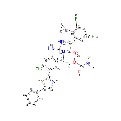 CN(C)C(=O)OC[C@H](c1ccc(Cl)c(-c2ncc(-c3ccccc3)s2)c1)N1C(=N)N[C@H](c2cc(F)cc(F)c2C2CC2)C1=O